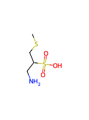 CSCC(CN)S(=O)(=O)O